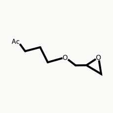 [CH2]C(=O)CCCOCC1CO1